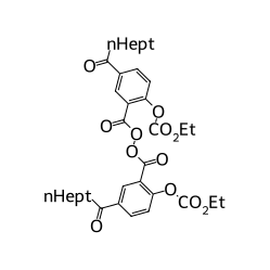 CCCCCCCC(=O)c1ccc(OC(=O)OCC)c(C(=O)OOC(=O)c2cc(C(=O)CCCCCCC)ccc2OC(=O)OCC)c1